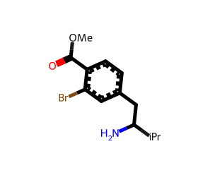 COC(=O)c1ccc(CC(N)C(C)C)cc1Br